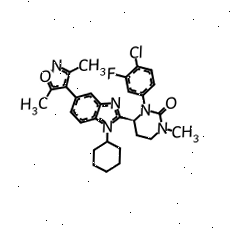 Cc1noc(C)c1-c1ccc2c(c1)nc([C@@H]1CCN(C)C(=O)N1c1ccc(Cl)c(F)c1)n2C1CCCCC1